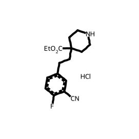 CCOC(=O)C1(CCc2ccc(F)c(C#N)c2)CCNCC1.Cl